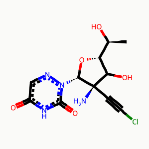 C[C@H](O)[C@H]1O[C@@H](n2ncc(=O)[nH]c2=O)[C@@](N)(C#CCl)C1O